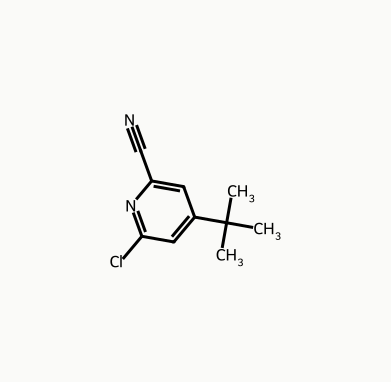 CC(C)(C)c1cc(Cl)nc(C#N)c1